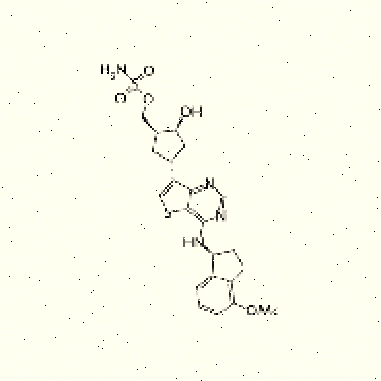 COc1cccc2c1CC[C@@H]2Nc1ncnc2c([C@@H]3C[C@@H](COS(N)(=O)=O)[C@@H](O)C3)csc12